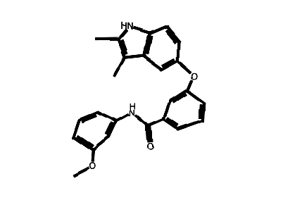 COc1cccc(NC(=O)c2cccc(Oc3ccc4[nH]c(C)c(C)c4c3)c2)c1